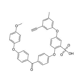 C#Cc1cc(C)cc(Oc2ccc(Oc3ccc(C(=O)c4ccc(Oc5ccc(OC)cc5)cc4)cc3)c(S(=O)(=O)O)c2)c1